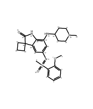 COc1ccccc1S(C)(=O)=Nc1cc(NC2CCN(C)CC2)c2c(c1)C1(CCC1)C(=O)N2